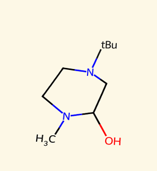 CN1CCN(C(C)(C)C)CC1O